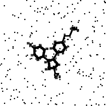 NCCc1ccc(-c2cc(C(F)(F)F)nn2-c2ccc(F)cc2)cc1